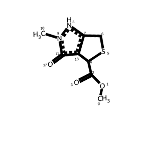 COC(=O)C1SCc2[nH]n(C)c(=O)c21